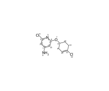 Nc1cc(Cl)nc(OC2CC=C(Cl)CC2)c1